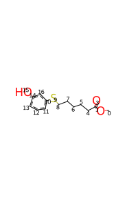 COC(=O)CCCCCSc1cccc(O)c1